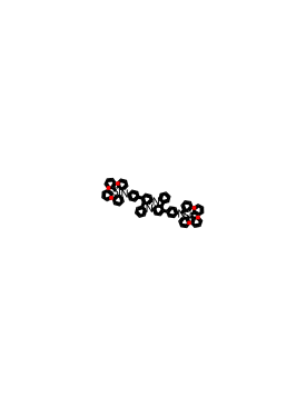 C1=C(c2ccc(N3c4ccccc4[Si](c4ccccc4)(c4ccccc4)c4ccccc43)cc2)C2c3ccccc3N3c4ccc(-c5ccc(N6c7ccccc7[Si](c7ccccc7)(c7ccccc7)c7ccccc76)cc5)c5c6ccccc6n(c45)C(=C1)C23